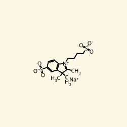 CC1=[N+](CCCCS(=O)(=O)[O-])c2ccc(S(=O)(=O)[O-])cc2C1(C)C.[Na+]